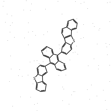 c1ccc2c(c1)ccc1c3cc(-c4c5ccccc5c(-c5ccc6sc7ccccc7c6c5)c5ccccc45)ccc3sc21